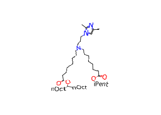 CCCCCCCCC(CCCCCCCC)OC(=O)CCCCCCCN(CCCCCCCC(=O)OC(C)CCC)CCCn1cc(C)nc1C